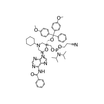 COc1ccc(C(OC[C@@]2(COP(OCCC#N)N(C(C)C)C(C)C)CN(C3CCCCC3)C[C@H](n3cnc4c(NC(=O)c5ccccc5)ncnc43)O2)(c2ccccc2)c2ccc(OC)cc2)cc1